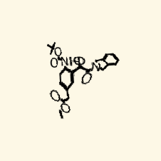 CCOC(=O)CC1=CCC(NC(=O)OC(C)(C)C)C(C(=O)C(=O)N2Cc3ccccc3C2)=C1